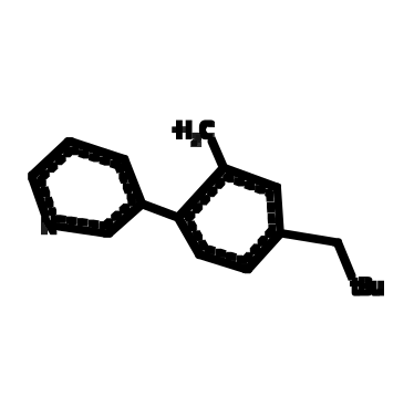 [CH2]c1cc(CC(C)(C)C)ccc1-c1cccnc1